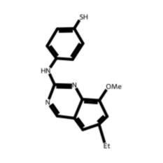 CCc1cc(OC)c2nc(Nc3ccc(S)cc3)ncc2c1